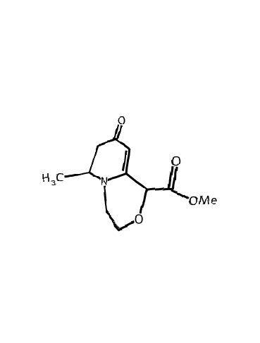 COC(=O)C1OCCN2C1=CC(=O)CC2C